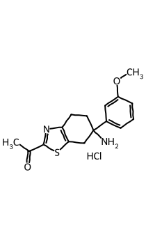 COc1cccc(C2(N)CCc3nc(C(C)=O)sc3C2)c1.Cl